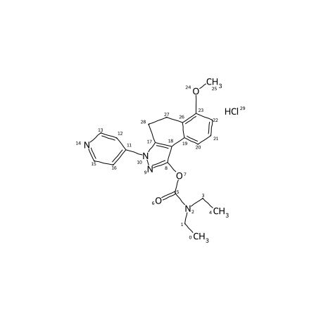 CCN(CC)C(=O)Oc1nn(-c2ccncc2)c2c1-c1cccc(OC)c1CC2.Cl